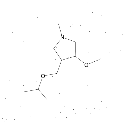 COC1CN(C)CC1COC(C)C